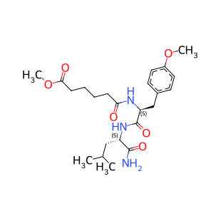 COC(=O)CCCCC(=O)N[C@@H](Cc1ccc(OC)cc1)C(=O)N[C@@H](CC(C)C)C(N)=O